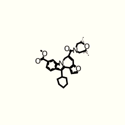 COC(=O)c1ccc2c(C3CCCCC3)c3n(c2c1)CC(C(=O)N1C[C@@H](C)O[C@@H](C)C1)=Cc1occc1-3